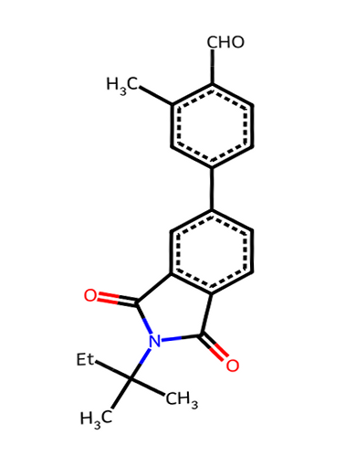 CCC(C)(C)N1C(=O)c2ccc(-c3ccc(C=O)c(C)c3)cc2C1=O